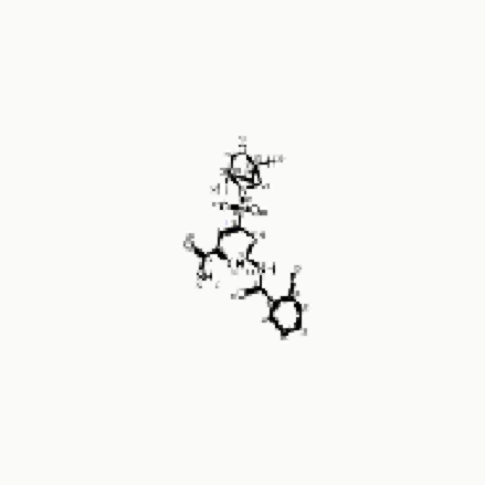 C=C(/C=C(\SCNC(=O)c1ccccc1F)S(=O)(=O)N1C[C@@H]2C[C@H]1CO2)C(N)=O